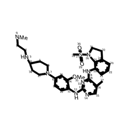 CNCCNC1CCN(c2ccc(Nc3ncc(C)c(Nc4cccc5c4N(S(C)(=O)=O)CC5)n3)c(OC)c2)CC1